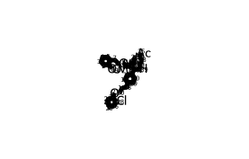 COc1ccccc1CC(=O)OCC1=C(c2ccc(CCCOc3ccccc3Cl)cc2)C[C@@H]2CN(C(C)=O)C[C@H]1N2